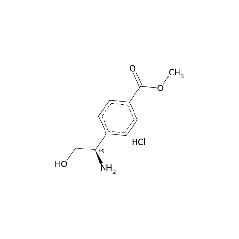 COC(=O)c1ccc([C@@H](N)CO)cc1.Cl